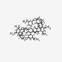 Cc1cc(C)cc(-c2c3ccc(N(c4ccccn4)c4c(C)c(C)cc(C)c4C)cc3c(-c3cc(C)cc(C)c3)c3ccc(N(c4ccccn4)c4c(C)c(C)cc(C)c4C)cc23)c1